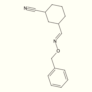 N#CC1CCCC(C=NOCc2ccccc2)C1